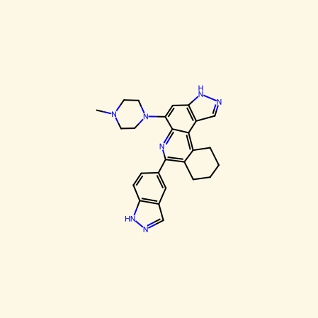 CN1CCN(c2cc3[nH]ncc3c3c4c(c(-c5ccc6[nH]ncc6c5)nc23)CCCC4)CC1